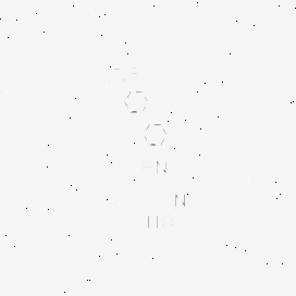 CC(O)CN1CCC(NCc2ccc(-c3ccc(C(F)(F)F)cc3)cc2)CC1